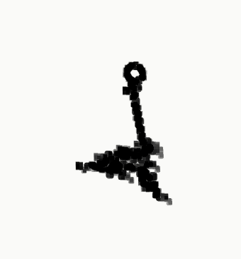 C/C=C/C1=CN2C(=O)c3cc(OC)c(OCCCOc4cc5c(cc4OC)C(=O)N4C=C(/C=C/C)C[C@H]4[C@H](O)N5C(=O)OCc4ccc(NC(=O)[C@H](C)NC(=O)[C@@H](NC(=O)CCOCCOCCOCCOCCNC(=O)CC5CCCCCCCCCCCC5)C(C)C)cc4)cc3N=C[C@@H]2C1